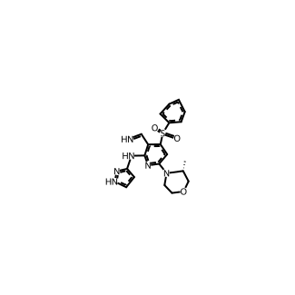 C[C@@H]1COCCN1c1cc(S(=O)(=O)c2ccccc2)c(C=N)c(Nc2cc[nH]n2)n1